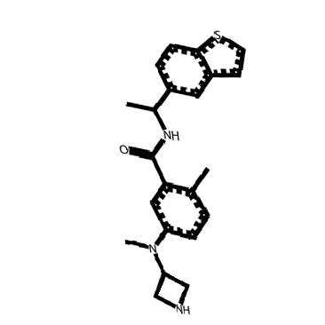 Cc1ccc(N(C)C2CNC2)cc1C(=O)NC(C)c1ccc2sccc2c1